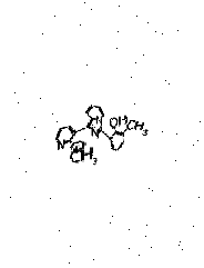 COc1ncccc1-c1nc(-c2cccc(C)c2O)n2ccccc12